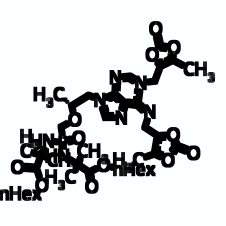 CCCCCCOC(=O)C(C)(C)NP(=O)(CO[C@H](C)Cn1cnc2/c(=N\Cc3oc(=O)oc3C)n(Cc3oc(=O)oc3C)cnc21)NC(C)(C)C(=O)OCCCCCC